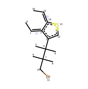 C/C=c1/c(C(C)(C)C(C)(C)CBr)cs/c1=C/C